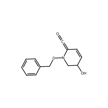 O=C=C1C=CC(O)CN1OCc1ccccc1